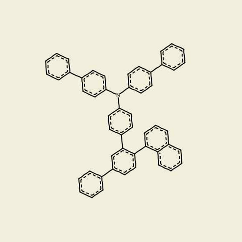 c1ccc(-c2ccc(N(c3ccc(-c4ccccc4)cc3)c3ccc(-c4cc(-c5ccccc5)ccc4-c4cccc5ccccc45)cc3)cc2)cc1